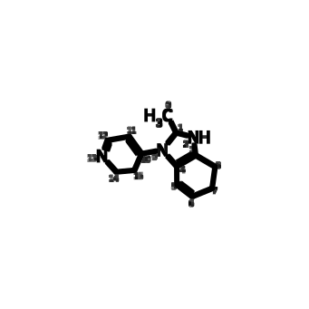 CC1NC2=C(C=CCC2)N1C1=CC=NCC1